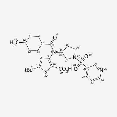 CC(C)(C)c1cc(N(C(=O)[C@H]2CC[C@H](C)CC2)[C@H]2CCN(S(=O)(=O)c3cccnc3)C2)c(C(=O)O)s1